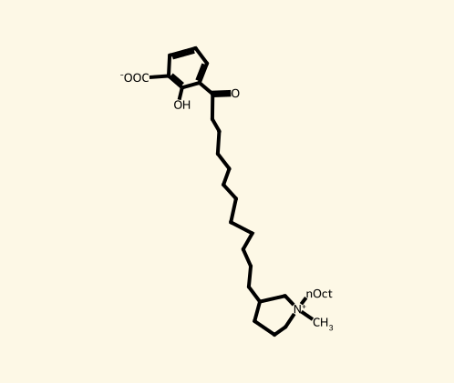 CCCCCCCC[N+]1(C)CCCC(CCCCCCCCCCCC(=O)c2cccc(C(=O)[O-])c2O)C1